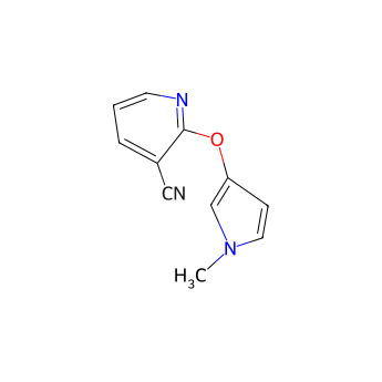 Cn1ccc(Oc2ncccc2C#N)c1